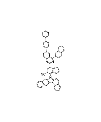 N#Cc1cc(-c2nc(-c3ccc4ccccc4c3)c3cc(-c4ccc(-c5ccccc5)cc4)ccc3n2)c2ccccc2c1-n1c2cc3ccccc3cc2c2c3ccccc3ccc21